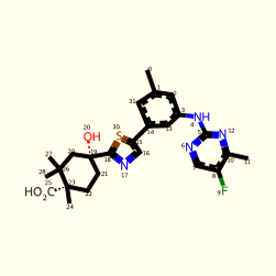 Cc1cc(Nc2ncc(F)c(C)n2)cc(-c2cnc([C@@]3(O)CC[C@](C)(C(=O)O)C(C)(C)C3)s2)c1